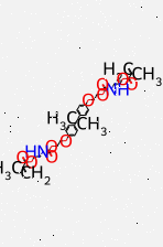 C=C(C)C(=O)OCCNC(=O)OCCOc1ccc(C(C)(C)c2ccc(OCCOC(=O)NCCOC(=O)C(=C)C)cc2)cc1